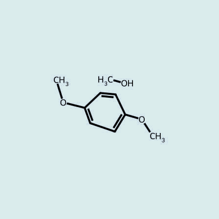 CO.COc1ccc(OC)cc1